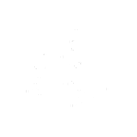 CCc1ccc(S(C)(=O)=O)c(Oc2ccc(-n3ncc(NC[C@@]4(F)CCCOC4)c(Cl)c3=O)cn2)c1.CCc1ccc(S(C)(=O)=O)c(Oc2ccc(Br)cn2)c1